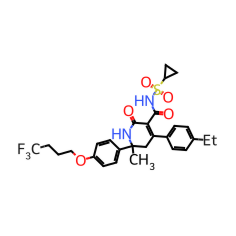 CCc1ccc(C2=C(C(=O)NS(=O)(=O)C3CC3)C(=O)NC(C)(c3ccc(OCCCC(F)(F)F)cc3)C2)cc1